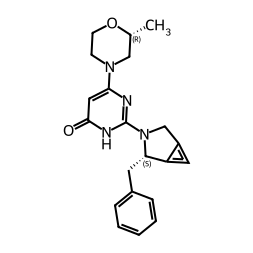 C[C@@H]1CN(c2cc(=O)[nH]c(N3CC4=C=C4[C@@H]3Cc3ccccc3)n2)CCO1